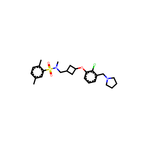 Cc1ccc(C)c(S(=O)(=O)N(C)CC2CC(Oc3cccc(CN4CCCC4)c3Cl)C2)c1